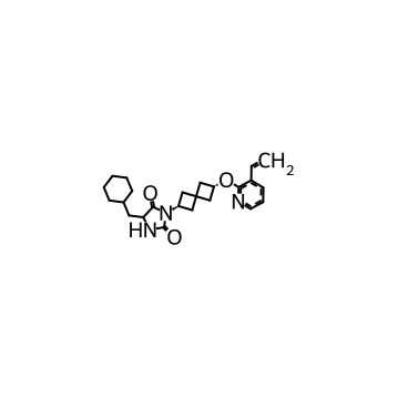 C=Cc1cccnc1O[C@H]1CC2(C1)C[C@H](N1C(=O)NC(CC3CCCCC3)C1=O)C2